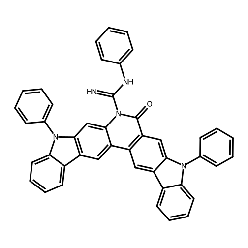 N=C(Nc1ccccc1)n1c(=O)c2cc3c(cc2c2cc4c5ccccc5n(-c5ccccc5)c4cc21)c1ccccc1n3-c1ccccc1